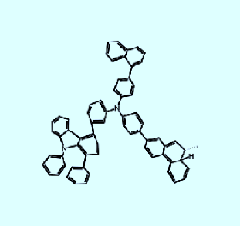 C[C@H]1C=c2cc(-c3ccc(N(c4ccc(-c5cccc6ccccc56)cc4)c4cccc(-c5ccc(-c6ccccc6)c6c5c5ccccc5n6-c5ccccc5)c4)cc3)ccc2=C2C=CC=C[C@H]21